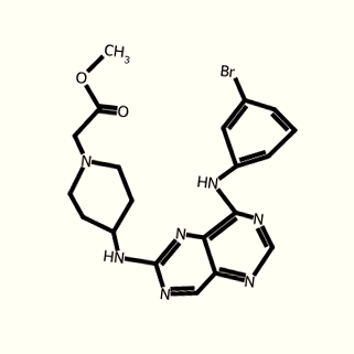 COC(=O)CN1CCC(Nc2ncc3ncnc(Nc4cccc(Br)c4)c3n2)CC1